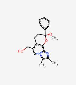 COC1(c2ccccc2)CCc2c(CO)cn3c(C)c(C)nc3c2O1